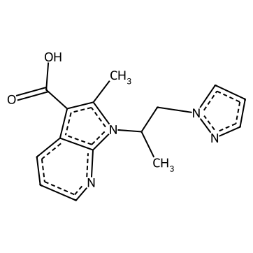 Cc1c(C(=O)O)c2cccnc2n1C(C)Cn1cccn1